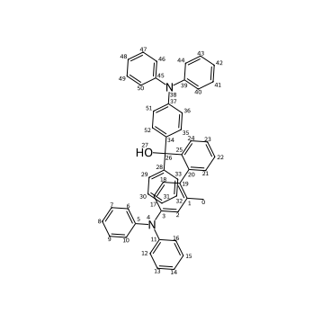 Cc1cc(N(c2ccccc2)c2ccccc2)ccc1-c1ccccc1C(O)(c1ccccc1)c1ccc(N(c2ccccc2)c2ccccc2)cc1